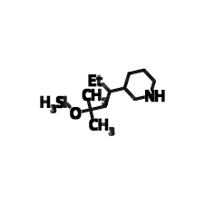 CCC(CC(C)(C)O[SiH3])C1CCCNC1